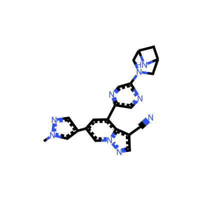 Cn1cc(-c2cc(-c3cnc(N4CC5CC(C4)N5)cn3)c3c(C#N)cnn3c2)cn1